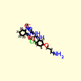 NCCCOc1ccc(Cl)c(NC(=O)Nc2n[n+]([O-])c3ccccc3[n+]2[O-])c1